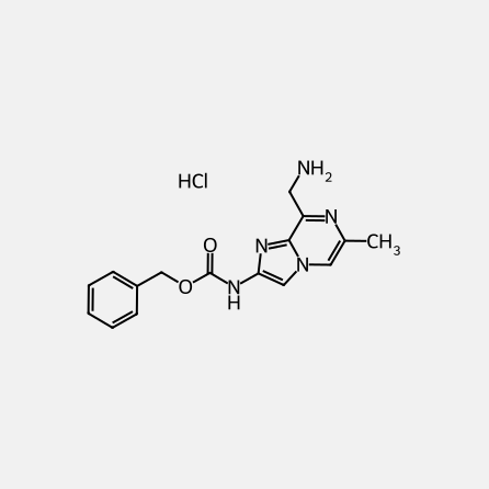 Cc1cn2cc(NC(=O)OCc3ccccc3)nc2c(CN)n1.Cl